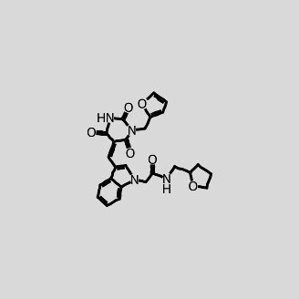 O=C(Cn1cc(/C=C2/C(=O)NC(=O)N(Cc3ccco3)C2=O)c2ccccc21)NCC1CCCO1